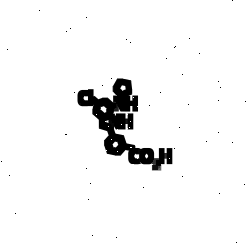 O=C(O)Cc1cccc(-c2cc3cc(Cl)cc(NC4CCCC4)c3[nH]2)c1